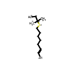 CCC=CCCCCCSC(C)(C)CC(C)=O